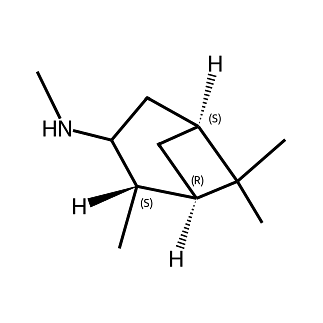 CNC1C[C@@H]2C[C@H]([C@@H]1C)C2(C)C